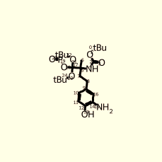 CC(C)(C)OC(=O)NC(C)(CCc1ccc(O)c(N)c1)C(OP=O)(OC(C)(C)C)OC(C)(C)C